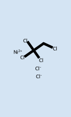 ClCC(Cl)(Cl)Cl.[Cl-].[Cl-].[Ni+2]